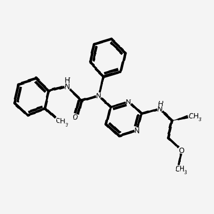 COC[C@H](C)Nc1nccc(N(C(=O)Nc2ccccc2C)c2ccccc2)n1